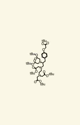 CC(C)(C)OC(=O)COc1ccc(CC(CN(CCN(CC(=O)OC(C)(C)C)CC(=O)OC(C)(C)C)CC(=O)OC(C)(C)C)N(CC(=O)OC(C)(C)C)CC(=O)OC(C)(C)C)cc1